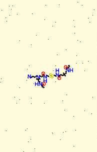 C=CC(=O)NCCC(C)(C)CCC(=O)NCCSSCCNC(=O)CCN(CCCCN(C)C)C(C)(C)CCNC(=O)C=C